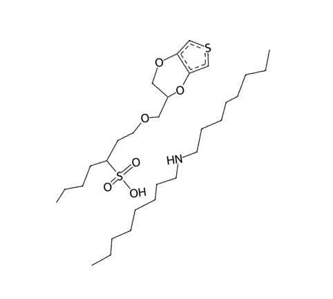 CCCCC(CCOCC1COc2cscc2O1)S(=O)(=O)O.CCCCCCCCNCCCCCCCC